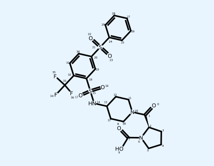 O=C([C@H]1CCCN1C(=O)O)N1CCC(NS(=O)(=O)c2cc(S(=O)(=O)c3ccccc3)ccc2C(F)(F)F)CC1